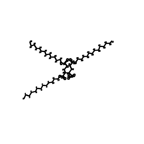 CCCCCCCCCCCCCOC(=O)C1CC(C(=O)OCCCCCCCCCCCCC)C(C(=O)OCCCCCCCCCCCCC)CC1C(=O)O